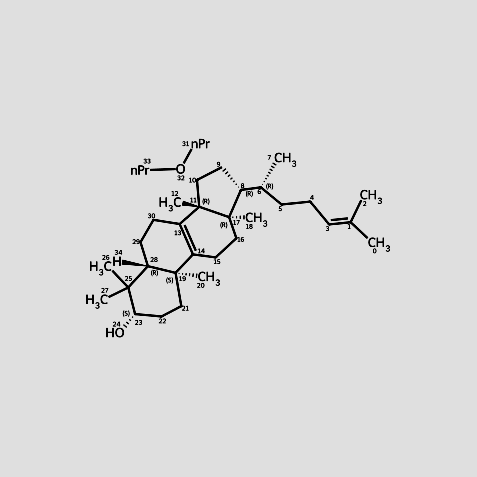 CC(C)=CCC[C@@H](C)[C@H]1CC[C@@]2(C)C3=C(CC[C@]12C)[C@@]1(C)CC[C@H](O)C(C)(C)[C@@H]1CC3.CCCOCCC